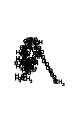 CC[C@H](C)[C@@H]([C@@H](CC(=O)N1CCC[C@H]1[C@H](OC)[C@@H](C)C(=O)N[C@@H](Cc1ccccc1)C(=O)NCCCOC(=O)C(C)NC(=O)CCC(NC(=O)CCNC(=O)OCC(NC(=O)CNC(=O)CNC(=O)CNC(=O)CNC(=O)CCNC(=O)CCOCC(C)(C)C)C(=O)NCCOCCOCCOCCOCCOCCOCCOCCOC)C(=O)O)OC)N(C)C(=O)C(NC(=O)[C@H](C(C)C)N(C)C)C(C)C